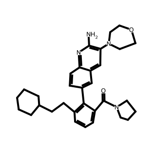 Nc1nc2ccc(-c3c(CCC4CCCCC4)cccc3C(=O)N3CCCC3)cc2cc1N1CCOCC1